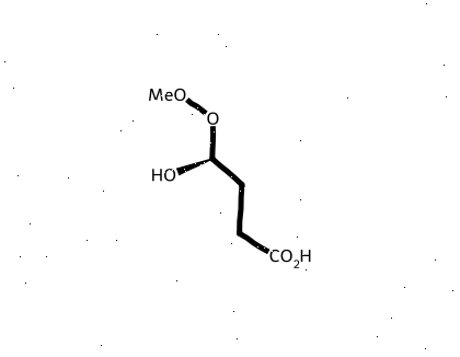 COO[C@H](O)CCC(=O)O